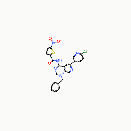 O=C(NC1=NCN(Cc2ccccc2)c2cnc(-c3ccc(Cl)nc3)cc21)c1ccc([N+](=O)[O-])s1